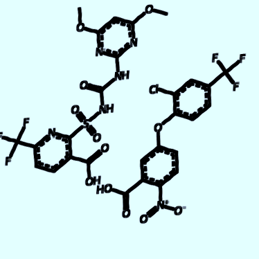 COc1cc(OC)nc(NC(=O)NS(=O)(=O)c2nc(C(F)(F)F)ccc2C(=O)O)n1.O=C(O)c1cc(Oc2ccc(C(F)(F)F)cc2Cl)ccc1[N+](=O)[O-]